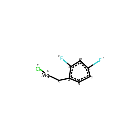 Fc1ccc([CH2][Mg][Cl])c(F)c1